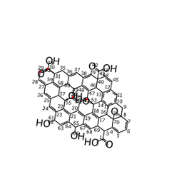 O=C(O)C1C2=CC=CC34Cc5cc6c7c8c5C(C5=C9C%10=C%11C%12=C%13C(=CC%14=CC%15=CC=CC%16(C(=O)O)CC%17=CC%18=CC(C(=O)O)(C=C6)C7C6=C%18C7C(=C%11C6C98O)C%13(O)C%14C(=C%15%16)C%177)C(O)C=C%12C(O)C%10=CC51)C23O4